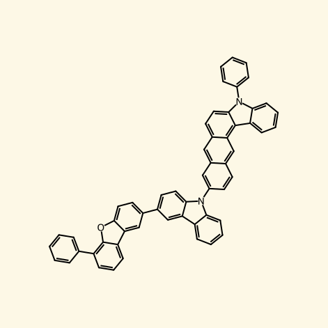 c1ccc(-c2cccc3c2oc2ccc(-c4ccc5c(c4)c4ccccc4n5-c4ccc5cc6c(ccc7c6c6ccccc6n7-c6ccccc6)cc5c4)cc23)cc1